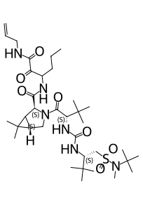 C=CCNC(=O)C(=O)C(CCC)NC(=O)[C@@H]1C2[C@H](CN1C(=O)[C@@H](NC(=O)N[C@H](CS(=O)(=O)N(C)C(C)(C)C)C(C)(C)C)C(C)(C)C)C2(C)C